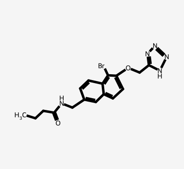 CCCC(=O)NCc1ccc2c(Br)c(OCc3nnn[nH]3)ccc2c1